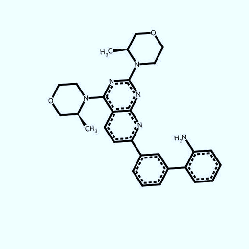 C[C@H]1COCCN1c1nc(N2CCOC[C@@H]2C)c2ccc(-c3cccc(-c4ccccc4N)c3)nc2n1